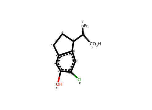 CCCC(C(=O)O)C1CCc2cc(O)c(Cl)cc21